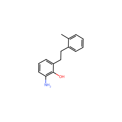 Cc1ccccc1CCc1cccc(N)c1O